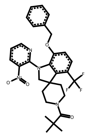 CC(C)(C)C(=O)N1CCC2(CC1)CN(c1ncccc1[N+](=O)[O-])c1c(OCc3ccccc3)ccc(C(F)(F)F)c12